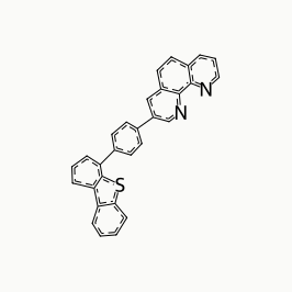 c1cnc2c(c1)ccc1cc(-c3ccc(-c4cccc5c4sc4ccccc45)cc3)cnc12